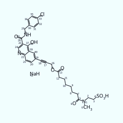 CN(CCS(=O)(=O)O)C(=O)CCCCCCC(=O)OCC#Cc1ccc2ncc(C(=O)NCc3ccc(Cl)cc3)c(O)c2c1.[NaH]